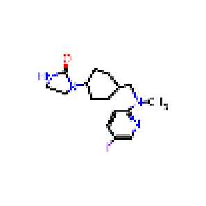 CN(CC1CCC(N2CCNC2=O)CC1)c1ccc(I)cn1